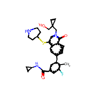 Cc1c(F)cc(C(=O)NC2CC2)cc1-c1ccc2c(=O)n(CC3(CO)CC3)cc(SC3CCNCC3)c2c1